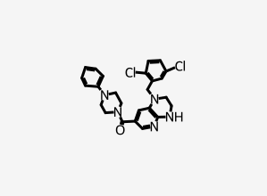 O=C(c1cnc2c(c1)N(Cc1cc(Cl)ccc1Cl)CCN2)N1CCN(c2ccccc2)CC1